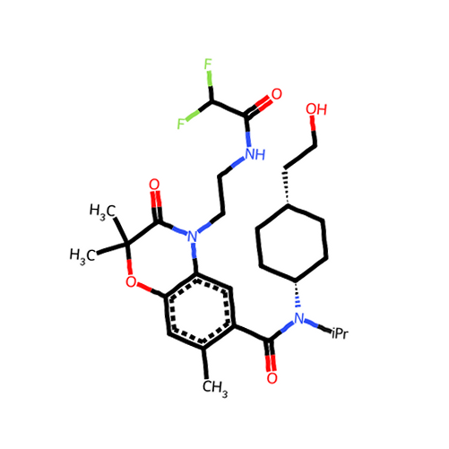 Cc1cc2c(cc1C(=O)N(C(C)C)[C@H]1CC[C@@H](CCO)CC1)N(CCNC(=O)C(F)F)C(=O)C(C)(C)O2